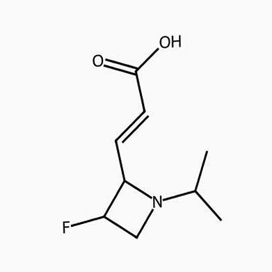 CC(C)N1CC(F)C1/C=C/C(=O)O